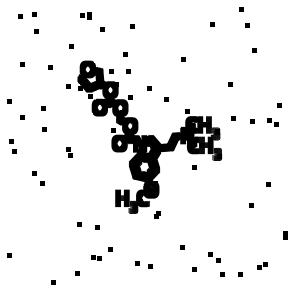 COc1ccc2c(c1)c(CCN(C)C)cn2C(=O)OCOC(=O)OC1CCOC1